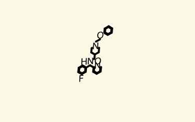 O=C(N[C@@H](c1cccc(F)c1)c1ccccn1)C1CCN(CCOc2ccccc2)CC1